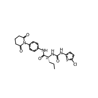 CCC[C@@H](NC(=O)Nc1ccc(Cl)s1)C(=O)Nc1ccc(N2C(=O)CCCC2=O)cc1